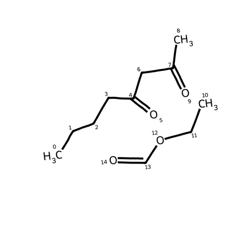 CCCCC(=O)CC(C)=O.CCOC=O